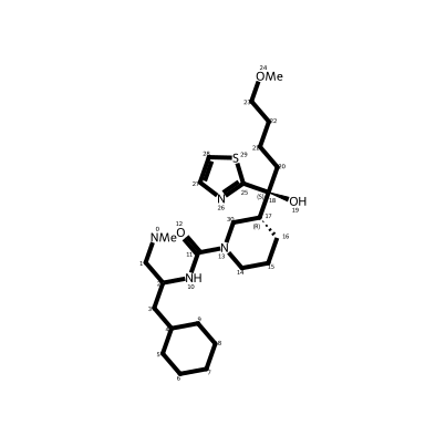 CNCC(CC1CCCCC1)NC(=O)N1CCC[C@@H]([C@@](O)(CCCCOC)c2nccs2)C1